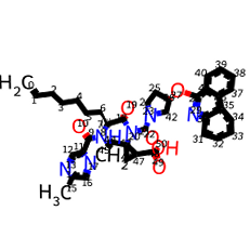 C=CCCCCC[C@H](NC(=O)c1cnc(C)cn1)C(=O)N(C(=O)N1CCC(Oc2nc3ccccc3c3ccccc23)C1)C1(C=C)CC1C(=O)O